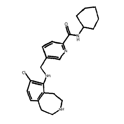 O=C(NC1CCCCC1)c1ccc(CNc2c(Cl)ccc3c2CCNCC3)cn1